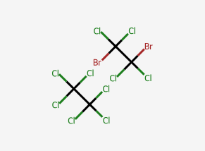 ClC(Cl)(Br)C(Cl)(Cl)Br.ClC(Cl)(Cl)C(Cl)(Cl)Cl